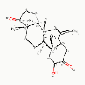 C=C1C[C@@H]2[C@H](CC[C@]3(C)C(=O)CC[C@@H]23)[C@@]2(C)CC(O)C(=O)CC12